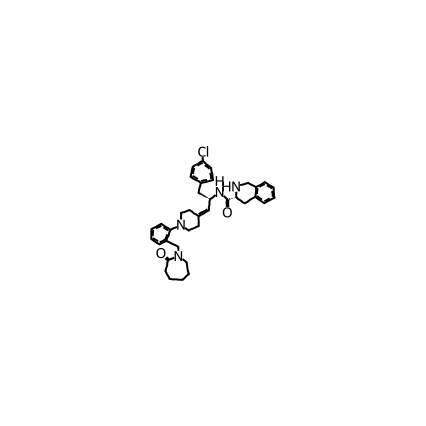 O=C(N[C@@H](C=C1CCN(c2ccccc2CN2CCCCCC2=O)CC1)Cc1ccc(Cl)cc1)[C@H]1Cc2ccccc2CN1